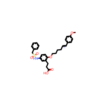 COc1ccc(/C=C/CCCCOc2ccc(NS(=O)(=O)Cc3ccccc3)cc2CCC(=O)O)cc1